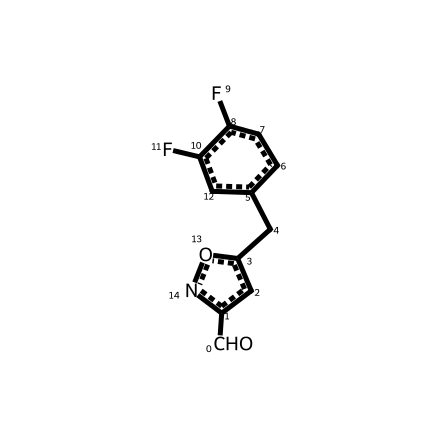 O=Cc1cc(Cc2ccc(F)c(F)c2)on1